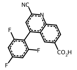 N#Cc1cc(-c2c(F)cc(F)cc2F)c2cc(C(=O)O)ccc2n1